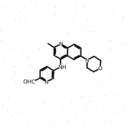 Cc1cc(Nc2ccc(C=O)nc2)c2cc(N3CCOCC3)ccc2n1